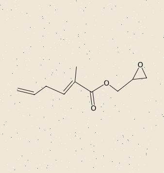 C=CC/C=C(\C)C(=O)OCC1CO1